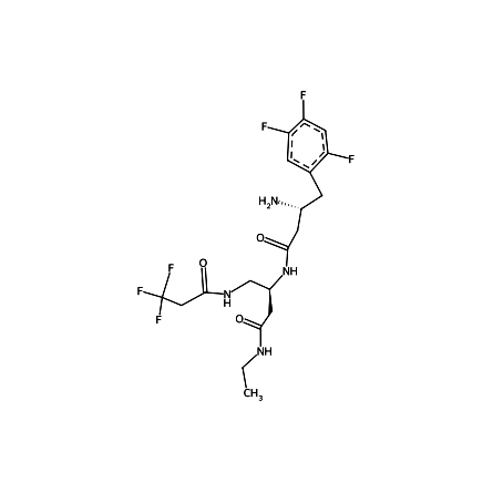 CCNC(=O)C[C@@H](CNC(=O)CC(F)(F)F)NC(=O)C[C@H](N)Cc1cc(F)c(F)cc1F